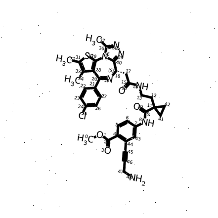 COC(=O)c1ccc(NC(=O)C2(CCNC(=O)C[C@@H]3N=C(c4ccc(Cl)cc4)c4c(sc(C)c4C)-n4c(C)nnc43)CC2)cc1C#CCN